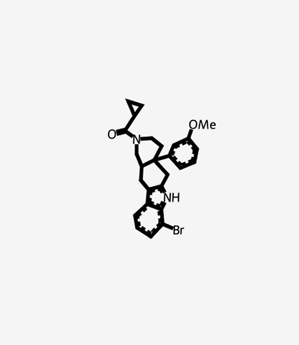 COc1cccc(C23CCN(C(=O)C4CC4)CC2Cc2c([nH]c4c(Br)cccc24)C3)c1